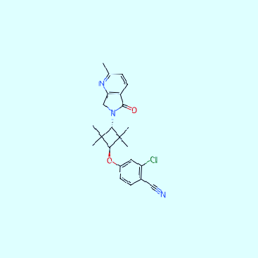 Cc1ccc2c(n1)CN([C@H]1C(C)(C)[C@H](Oc3ccc(C#N)c(Cl)c3)C1(C)C)C2=O